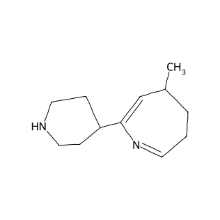 CC1C=C(C2CCNCC2)N=CCC1